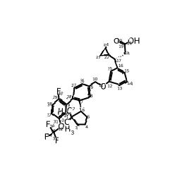 CC1(C)CCC[C@@H]1c1cc(COc2cccc([C@@H](CC(=O)O)C3CC3)c2)ccc1-c1cc(OC(F)(F)F)ccc1F